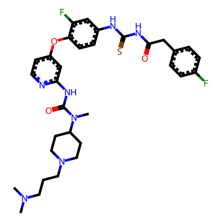 CN(C)CCCN1CCC(N(C)C(=O)Nc2cc(Oc3ccc(NC(=S)NC(=O)Cc4ccc(F)cc4)cc3F)ccn2)CC1